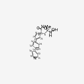 CNC(=O)C(CC(=O)NO)n1ccc(-c2ccc(-c3ccncc3)cc2)c1